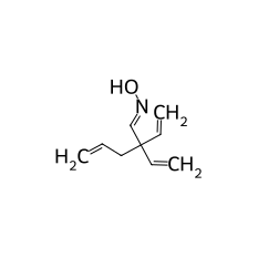 C=CCC(C=C)(C=C)C=NO